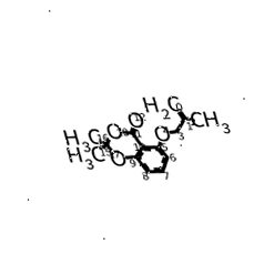 C=C(C)COc1cccc2c1C(=O)OC(C)(C)O2